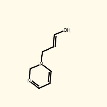 OC=CCN1C=CC=NC1